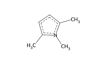 Cc1ccc(C)n1C